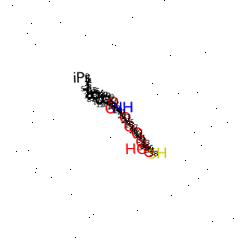 CC(C)CCCC(C)C1CCC2C3CC=C4CC(OC(=O)NCCCOCCOCCOCCOCC(O)COS)CCC4(C)C3CCC12C